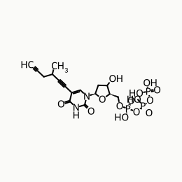 C#CCC(C)C#Cc1cn([C@H]2CC(O)[C@@H](COP(=O)(O)OP(=O)(O)OP(=O)(O)O)O2)c(=O)[nH]c1=O